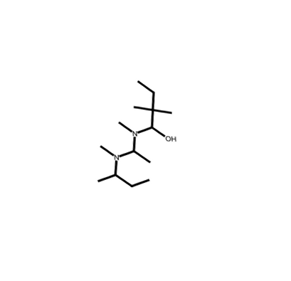 CCC(C)N(C)C(C)N(C)C(O)C(C)(C)CC